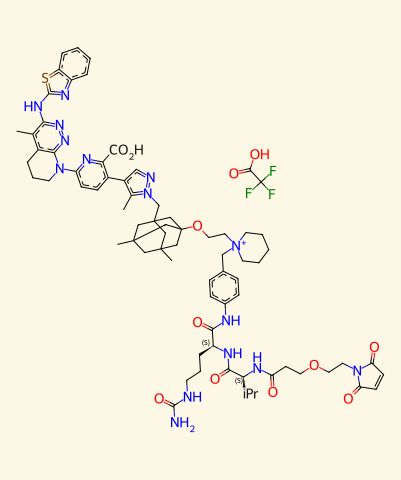 Cc1c(Nc2nc3ccccc3s2)nnc2c1CCCN2c1ccc(-c2cnn(CC34CC5(C)CC(C)(C3)CC(OCC[N+]3(Cc6ccc(NC(=O)[C@H](CCCNC(N)=O)NC(=O)[C@@H](NC(=O)CCOCCN7C(=O)C=CC7=O)C(C)C)cc6)CCCCC3)(C5)C4)c2C)c(C(=O)O)n1.O=C(O)C(F)(F)F